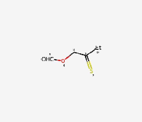 CCC(=S)CO[C]=O